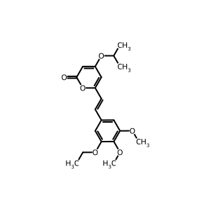 CCOc1cc(C=Cc2cc(OC(C)C)cc(=O)o2)cc(OC)c1OC